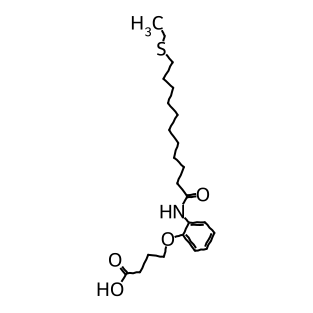 CCSCCCCCCCCCCC(=O)Nc1ccccc1OCCCC(=O)O